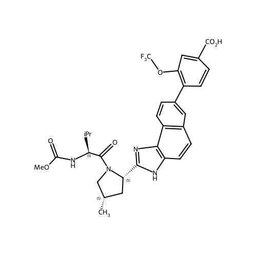 COC(=O)N[C@H](C(=O)N1C[C@@H](C)C[C@H]1c1nc2c(ccc3cc(-c4ccc(C(=O)O)cc4OC(F)(F)F)ccc32)[nH]1)C(C)C